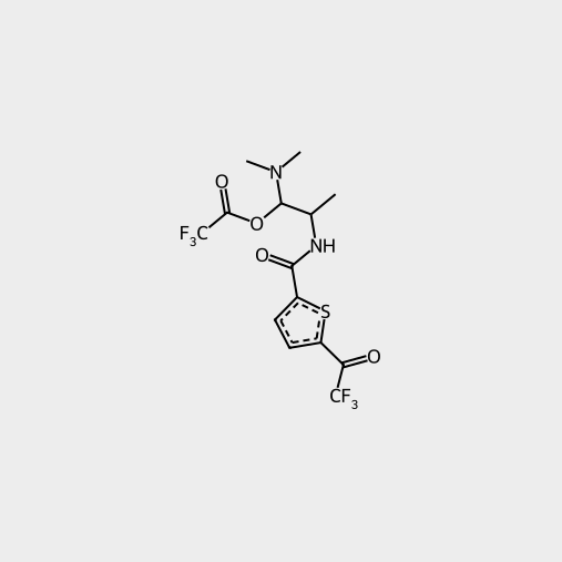 CC(NC(=O)c1ccc(C(=O)C(F)(F)F)s1)C(OC(=O)C(F)(F)F)N(C)C